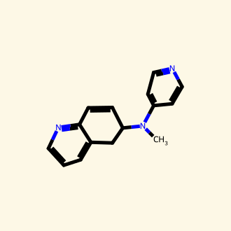 CN(c1ccncc1)C1C=Cc2ncccc2C1